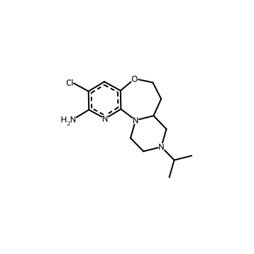 CC(C)N1CCN2c3nc(N)c(Cl)cc3OCCC2C1